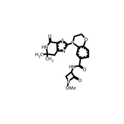 CON1CC(NC(=O)c2ccc3c(c2)N(c2nc4c(s2)C(=O)NC(C)(C)C4)CCO3)C1=O